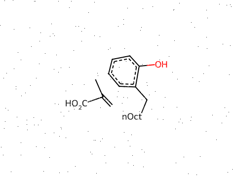 C=C(C)C(=O)O.CCCCCCCCCc1ccccc1O